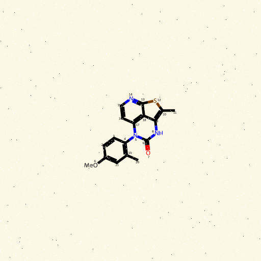 COc1ccc(N2C(=O)Nc3c(C)sc4nccc2c34)c(C)c1